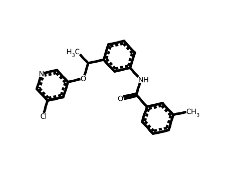 Cc1cccc(C(=O)Nc2cccc(C(C)Oc3cncc(Cl)c3)c2)c1